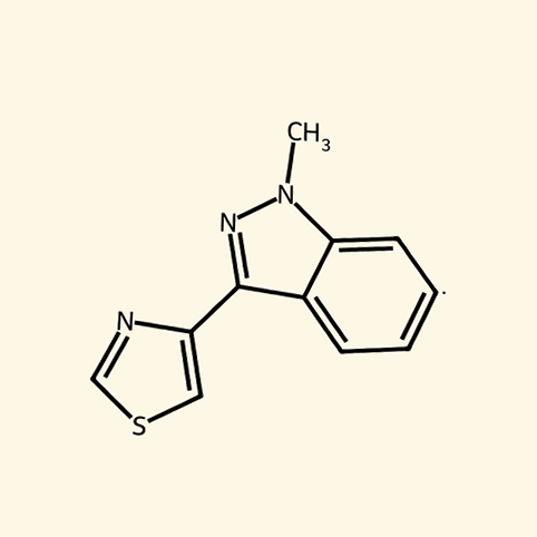 Cn1nc(-c2cscn2)c2cc[c]cc21